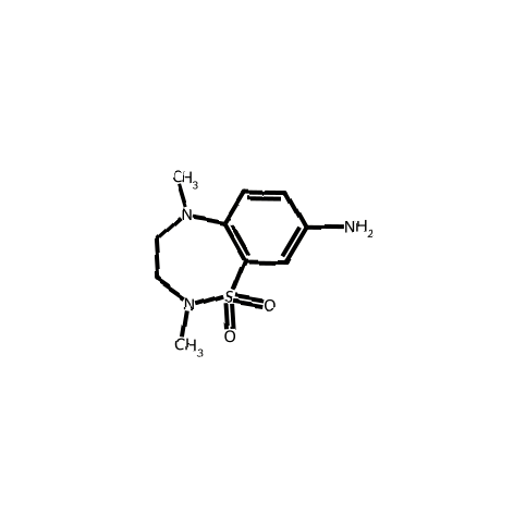 CN1CCN(C)S(=O)(=O)c2cc(N)ccc21